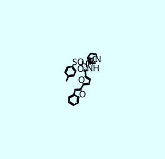 Cc1ccc(S(=O)(=O)O)cc1.O=C(N[C@H]1CN2CCC1CC2)c1ccc(-c2cc3ccccc3o2)o1